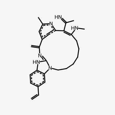 C=Cc1ccc2c(c1)N1CCCCCC/C(NC)=C(/C(C)=N)c3cc(cc(C)n3)C(=C)/N=C/1N2